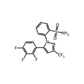 NS(=O)(=O)c1ccccc1-n1nc(C(F)(F)F)cc1-c1ccc(F)c(F)c1F